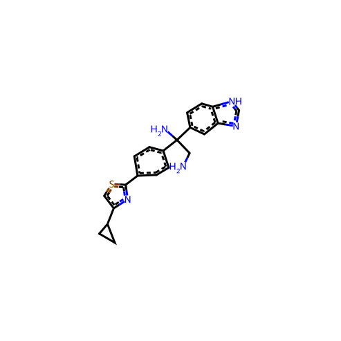 NCC(N)(c1ccc(-c2nc(C3CC3)cs2)cc1)c1ccc2[nH]cnc2c1